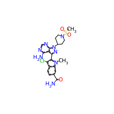 Cn1c(-c2nn(C3CCN(S(C)(=O)=O)CC3)c3ncnc(N)c23)c(Cl)c2ccc(C(N)=O)cc21